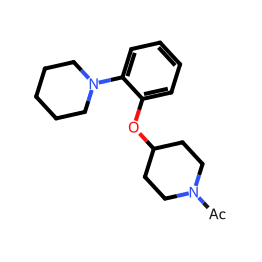 CC(=O)N1CCC(Oc2ccccc2N2CCCCC2)CC1